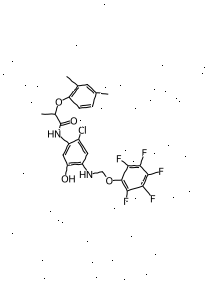 Cc1ccc(OC(C)C(=O)Nc2cc(O)c(NCOc3c(F)c(F)c(F)c(F)c3F)cc2Cl)c(C)c1